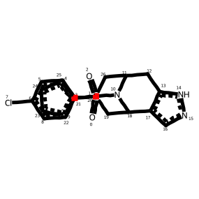 O=S(=O)(c1ccc(Cl)cc1)N1C2Cc3[nH]ncc3C1CN(c1nccs1)C2